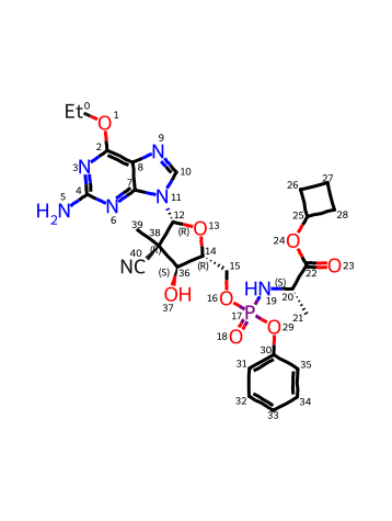 CCOc1nc(N)nc2c1ncn2[C@@H]1O[C@H](COP(=O)(N[C@@H](C)C(=O)OC2CCC2)Oc2ccccc2)[C@@H](O)[C@@]1(C)C#N